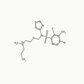 CCC[SiH](C)CCOCN(c1cscn1)S(=O)(=O)c1ncc(F)c(C)c1F